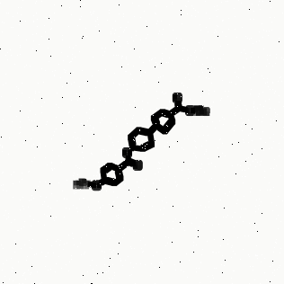 CCCOc1ccc(C(=O)Oc2ccc(-c3ccc(C(=O)OC)cc3)cc2)cc1